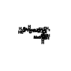 C#CCN(C)CCNC(=O)CCOCc1ccc(Cc2cc([C@@H]3O[C@H](SC)[C@@H](O)[C@H](O)[C@H]3O)ccc2C)cc1